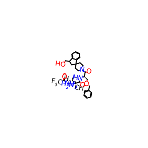 CC(C)(N)C(=O)N[C@H](COCc1ccccc1)C(=O)N1CCC2(CC1)CC(CO)c1ccccc12.NC(=O)C(F)(F)F